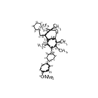 COc1ccc(N2CCN(c3c(C)c(C)c4c(c3C)C(CN3CCCCC3)C(C)(C)O4)CC2)cc1